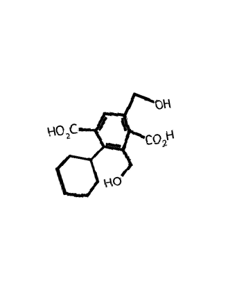 O=C(O)c1cc(CO)c(C(=O)O)c(CO)c1C1CCCCC1